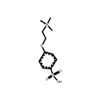 C[N+](C)(C)CCOc1ccc(S(=O)(=O)O)cc1